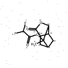 CC1(OC(=O)C(F)F)C2CC3C(=O)OC1C3C2